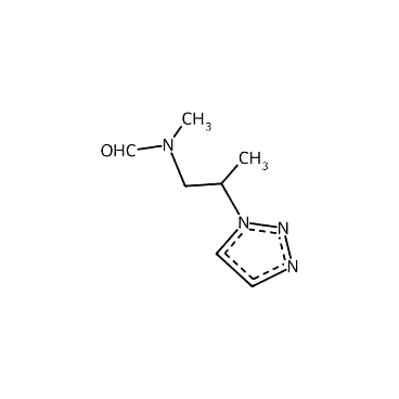 CC(CN(C)C=O)n1ccnn1